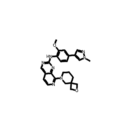 COc1cc(-c2cnn(C)c2)ccc1Nc1ncc2ccnc(N3CCCC4(COC4)C3)c2n1